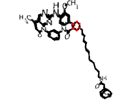 COc1cc(N2CCN(CCCCCCCCCCCCNC(=O)CC34CC5CC(CC3C5)C4)CC2)ccc1Nc1ncc2c(C)cc(=O)n(-c3cccc(NC(=O)C4CCCCC4)c3)c2n1